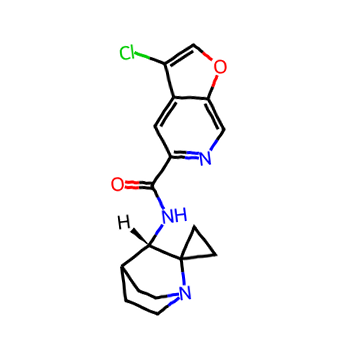 O=C(N[C@H]1C2CCN(CC2)C12CC2)c1cc2c(Cl)coc2cn1